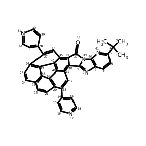 CC(C)(C)c1ccc2nc3c4c5cc(-c6ccncc6)c6ccc7ccc8c(-c9ccncc9)cc(c4c(=O)n3c2n1)c1c8c7c6c51